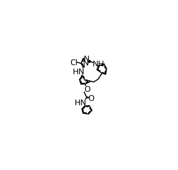 O=C(COc1ccc2cc1CCc1cccc(c1)Nc1ncc(Cl)c(n1)N2)Nc1ccccc1